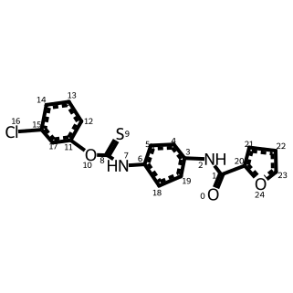 O=C(Nc1ccc(NC(=S)Oc2cccc(Cl)c2)cc1)c1ccco1